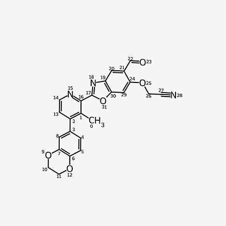 Cc1c(-c2ccc3c(c2)OCCO3)ccnc1-c1nc2cc(C=O)c(OCC#N)cc2o1